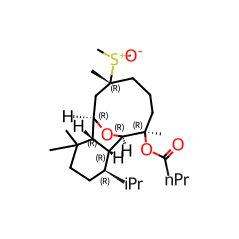 CCCC(=O)O[C@]1(C)CCC[C@@](C)([S+](C)[O-])C[C@H]2O[C@@H]1[C@H]1[C@@H]2C(C)(C)CC[C@@H]1C(C)C